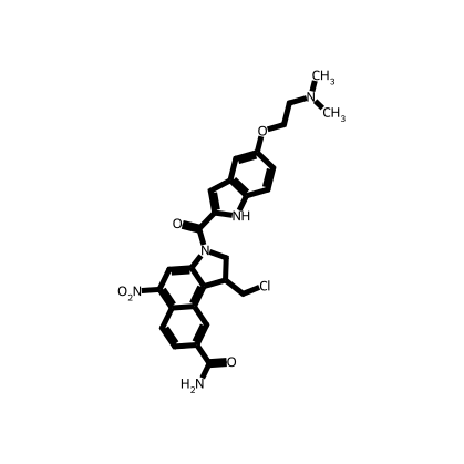 CN(C)CCOc1ccc2[nH]c(C(=O)N3CC(CCl)c4c3cc([N+](=O)[O-])c3ccc(C(N)=O)cc43)cc2c1